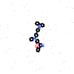 c1ccc(N(c2ccc(-c3ccc(-n4c5ccccc5c5ccccc54)cc3)cc2)c2ccc(-c3cncc4c3oc3ccccc34)cc2)cc1